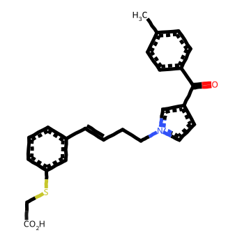 Cc1ccc(C(=O)c2ccn(CC/C=C/c3cccc(SCC(=O)O)c3)c2)cc1